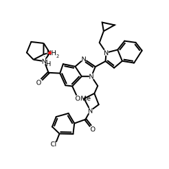 COc1cc(C(=O)N2CC3CCC2[C@@H]3N)cc2nc(-c3cc4ccccc4n3CC3CC3)n(CC3CN(C(=O)c4cccc(Cl)c4)C3)c12